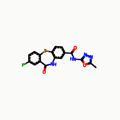 Cc1nnc(NC(=O)c2ccc3c(c2)NC(=O)c2cc(F)ccc2S3)o1